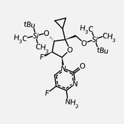 CC(C)(C)[Si](C)(C)OC[C@@]1(C2CC2)O[C@@H](n2cc(F)c(N)nc2=O)[C@@H](F)[C@@H]1O[Si](C)(C)C(C)(C)C